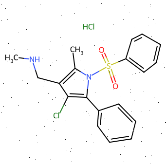 CNCc1c(Cl)c(-c2ccccc2)n(S(=O)(=O)c2ccccc2)c1C.Cl